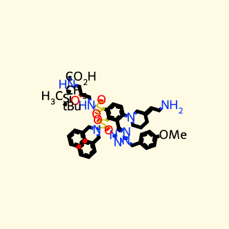 COc1ccc(Cn2nnc(-c3c(N4CCCC(=CCN)C4)ccc(S(=O)(=O)NCC(CNC(=O)O)O[Si](C)(C)C(C)(C)C)c3S(=O)(=O)N(Cc3ccccc3)Cc3ccccc3)n2)cc1